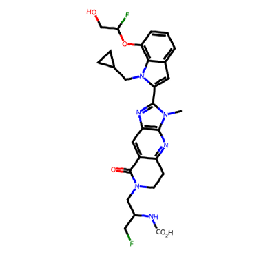 Cn1c(-c2cc3cccc(OC(F)CO)c3n2CC2CC2)nc2cc3c(nc21)CCN(CC(CF)NC(=O)O)C3=O